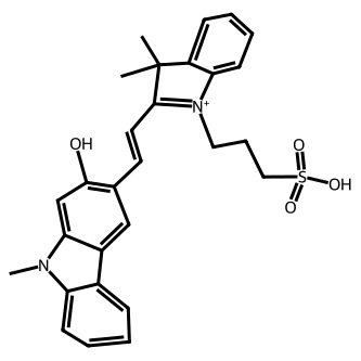 Cn1c2ccccc2c2cc(/C=C/C3=[N+](CCCS(=O)(=O)O)c4ccccc4C3(C)C)c(O)cc21